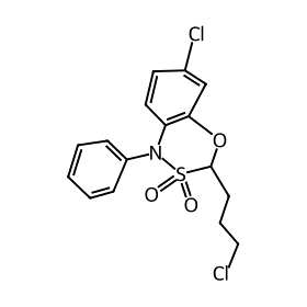 O=S1(=O)C(CCCCl)Oc2cc(Cl)ccc2N1c1ccccc1